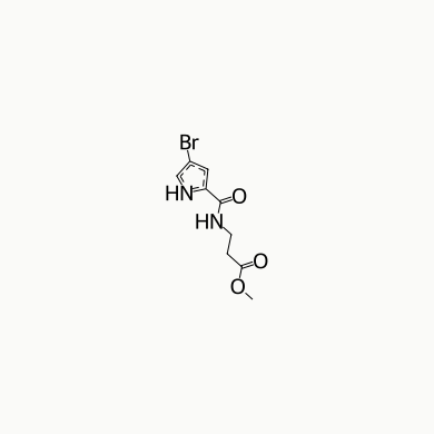 COC(=O)CCNC(=O)c1cc(Br)c[nH]1